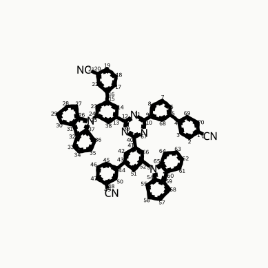 N#Cc1ccc(-c2cccc(-c3nc(-c4cc(-c5cccc(C#N)c5)cc(-n5c6ccccc6c6ccccc65)c4)nc(-c4cc(-c5cccc(C#N)c5)cc(-n5c6ccccc6c6ccccc65)c4)n3)c2)cc1